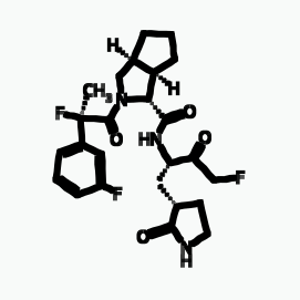 C[C@](F)(C(=O)N1C[C@H]2CCC[C@H]2[C@@H]1C(=O)N[C@@H](C[C@@H]1CCNC1=O)C(=O)CF)c1cccc(F)c1